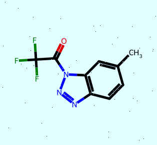 Cc1ccc2nnn(C(=O)C(F)(F)F)c2c1